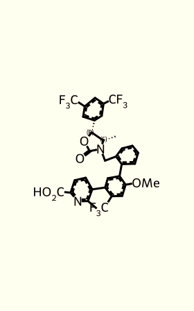 COc1cc(C(F)(F)F)c(-c2ccc(C(=O)O)nc2C)cc1-c1ccccc1CN1C(=O)O[C@H](c2cc(C(F)(F)F)cc(C(F)(F)F)c2)[C@@H]1C